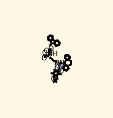 Cc1c(C)c(S(=O)(=O)/N=C(/NC2c3ccccc3CCc3ccccc32)N(C)CCCC[C@@H](NC(=O)OCC2c3ccccc3-c3ccccc32)C(=O)O)c(C)c2c1OC(C)(C)C2